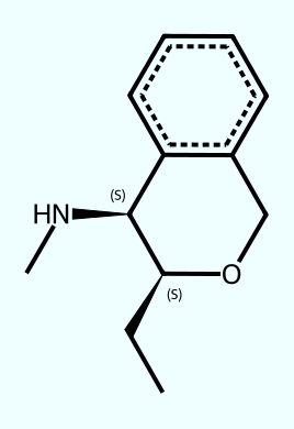 CC[C@@H]1OCc2ccccc2[C@@H]1NC